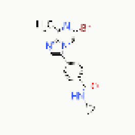 Cc1nc(Br)cn2c(-c3ccc(C(=O)NC4CC4)cc3)cnc12